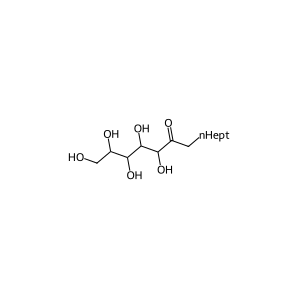 CCCCCCCCC(=O)C(O)C(O)C(O)C(O)CO